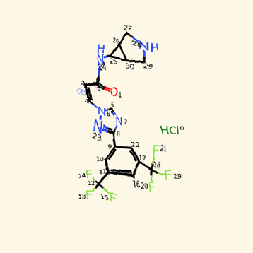 Cl.O=C(/C=C\n1cnc(-c2cc(C(F)(F)F)cc(C(F)(F)F)c2)n1)NC1C2CNCC21